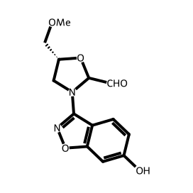 COC[C@H]1CN(c2noc3cc(O)ccc23)C(C=O)O1